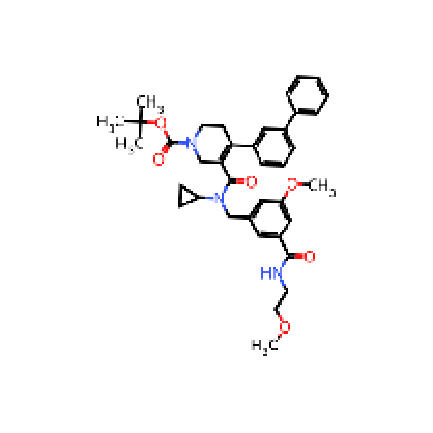 COCCNC(=O)c1cc(CN(C(=O)C2=C(c3cccc(-c4ccccc4)c3)CCN(C(=O)OC(C)(C)C)C2)C2CC2)cc(OC)c1